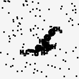 CCC#CC(=O)N1CCCC(Nc2nc(Nc3ccc(N4CCN(C)CC4)cc3)nc3[nH]cc(Cl)c23)C1